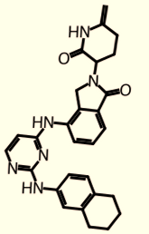 C=C1CCC(N2Cc3c(Nc4ccnc(Nc5ccc6c(c5)CCCC6)n4)cccc3C2=O)C(=O)N1